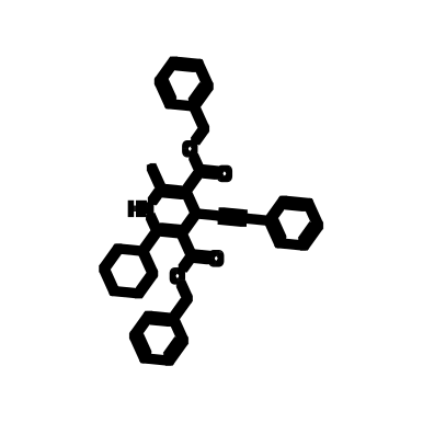 CC1=C(C(=O)OCc2ccccc2)C(C#Cc2ccccc2)C(C(=O)OCc2ccccc2)=C(C2CCCCC2)N1